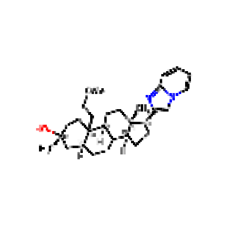 COCC[C@]12CC[C@@](C)(O)C[C@H]1CCC1[C@@H]3CC[C@H](c4cn5ccccc5n4)[C@@]3(C)CC[C@@H]12